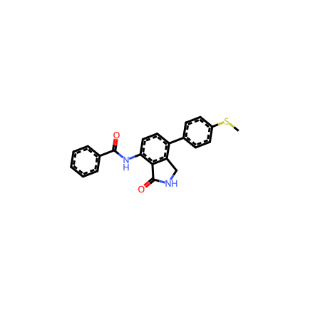 CSc1ccc(-c2ccc(NC(=O)c3ccccc3)c3c2CNC3=O)cc1